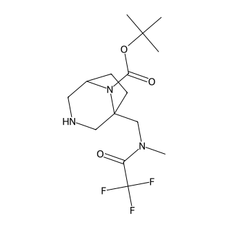 CN(CC12CCC(CNC1)N2C(=O)OC(C)(C)C)C(=O)C(F)(F)F